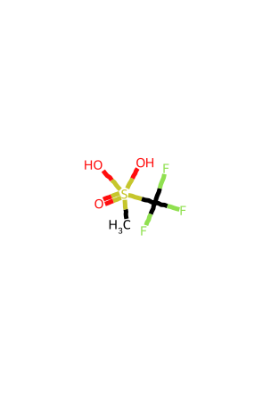 CS(=O)(O)(O)C(F)(F)F